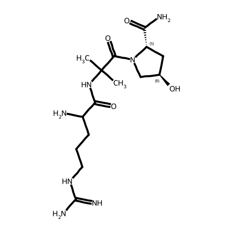 CC(C)(NC(=O)C(N)CCCNC(=N)N)C(=O)N1C[C@H](O)C[C@H]1C(N)=O